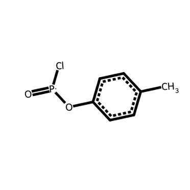 Cc1ccc(O[P](=O)Cl)cc1